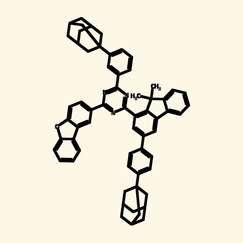 CC1(C)c2ccccc2-c2cc(-c3ccc(C45CC6CC(CC(C6)C4)C5)cc3)cc(-c3nc(-c4cccc(C56CC7CC(CC(C7)C5)C6)c4)nc(-c4ccc5oc6ccccc6c5c4)n3)c21